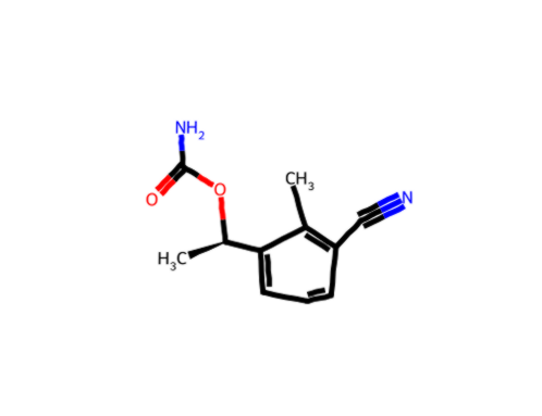 Cc1c(C#N)cccc1[C@@H](C)OC(N)=O